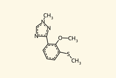 COc1c(SC)cccc1-c1ncn(C)n1